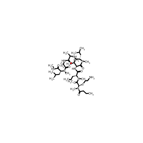 CCCC(=O)N(C)[C@H](SCCN)C(=O)N(C)[C@@H](CC(C)C)C(=O)N[C@H](C(=O)N(C)[C@@H](CC(C)C)C(=O)NC(C)C(=O)N[C@H](C)C(=O)N(C)[C@@H](CC(C)C)C(=O)NC)C(C)C